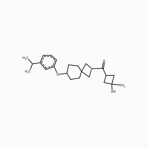 CC(C)c1cccc(OC2CCC3(CC2)CN(C(=O)C2CC(C)(O)C2)C3)c1